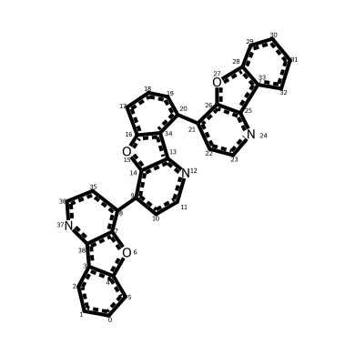 c1ccc2c(c1)oc1c(-c3ccnc4c3oc3cccc(-c5ccnc6c5oc5ccccc56)c34)ccnc12